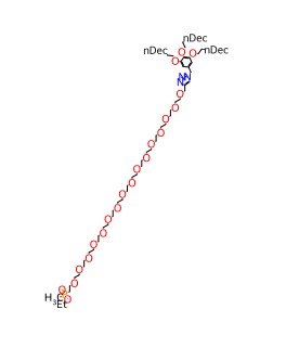 CCCCCCCCCCCCOc1cc(Cn2cc(COCCOCCOCCOCCOCCOCCOCCOCCOCCOCCOCCOCCOCCOCCOCCOCCP(C)(=O)OCC)nn2)cc(OCCCCCCCCCCCC)c1OCCCCCCCCCCCC